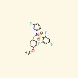 COc1ccc(CN(c2cccc(F)n2)S(=O)(=O)c2c(F)cc(F)cc2F)cc1